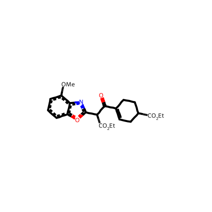 CCOC(=O)C1CC=C(C(=O)C(C(=O)OCC)c2nc3c(OC)cccc3o2)CC1